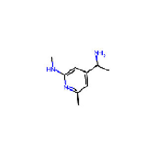 CNc1cc(C(C)N)cc(C)n1